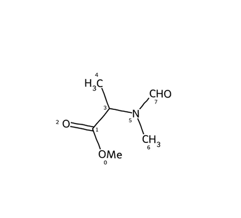 COC(=O)C(C)N(C)C=O